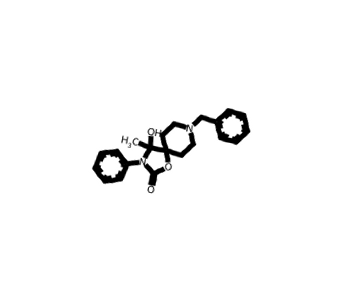 CC1(O)N(c2ccccc2)C(=O)OC12CCN(Cc1ccccc1)CC2